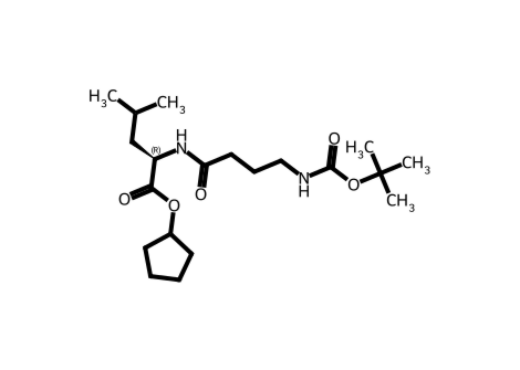 CC(C)C[C@@H](NC(=O)CCCNC(=O)OC(C)(C)C)C(=O)OC1CCCC1